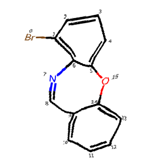 Brc1cccc2c1N=Cc1ccccc1O2